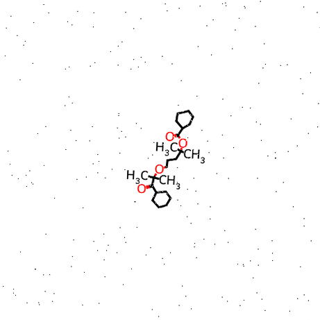 CC(C)(CCCOC(C)(C)C(=O)C1CCCCC1)OC(=O)C1CCCCC1